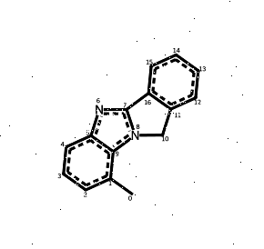 Cc1cccc2nc3n(c12)Cc1ccccc1-3